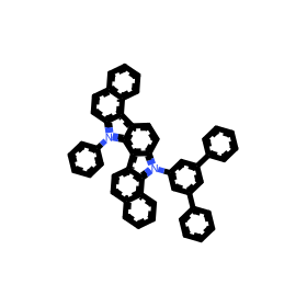 c1ccc(-c2cc(-c3ccccc3)cc(-n3c4ccc5c6c7ccccc7ccc6n(-c6ccccc6)c5c4c4ccc5ccccc5c43)c2)cc1